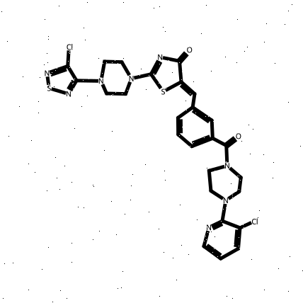 O=C1N=C(N2CCN(c3nsnc3Cl)CC2)SC1=Cc1cccc(C(=O)N2CCN(c3ncccc3Cl)CC2)c1